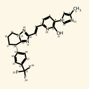 Cc1cn(-c2ccc(/C=C/c3nc4n(n3)CCC[C@H]4c3ccc(C(F)(F)F)cc3)nc2O)cn1